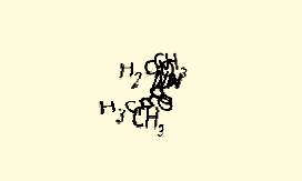 C=C(CNc1cc(-c2ccc(C(C)C)cc2)c2c(c1C#N)CCO2)C(C)=O